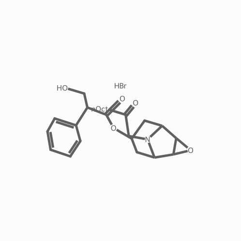 Br.CCCCCCCCC(=O)CN1C2CC(OC(=O)C(CO)c3ccccc3)CC1C1OC12